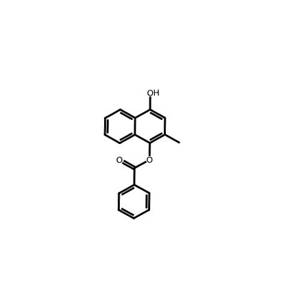 Cc1cc(O)c2ccccc2c1OC(=O)c1ccccc1